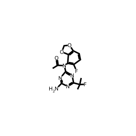 CC(=O)N(c1nc(N)nc(C(C)(C)F)n1)c1c(F)ccc2c1OCO2